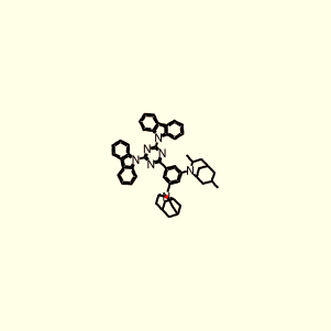 CC1CC2CC(C)N(c3cc(-c4nc(-n5c6ccccc6c6ccccc65)nc(-n5c6ccccc6c6ccccc65)n4)cc(N4C5CC6CC(C5)CC4C6)c3)C(C1)C2